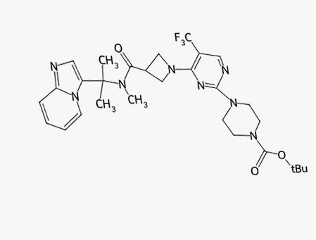 CN(C(=O)C1CN(c2nc(N3CCN(C(=O)OC(C)(C)C)CC3)ncc2C(F)(F)F)C1)C(C)(C)c1cnc2ccccn12